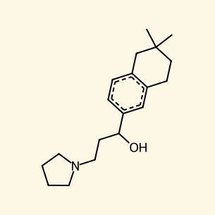 CC1(C)CCc2cc(C(O)CCN3CCCC3)ccc2C1